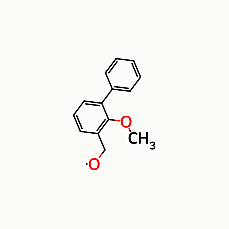 COc1c(C[O])cccc1-c1ccccc1